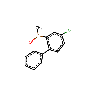 C[S+]([O-])c1cc(Br)ccc1-c1ccccc1